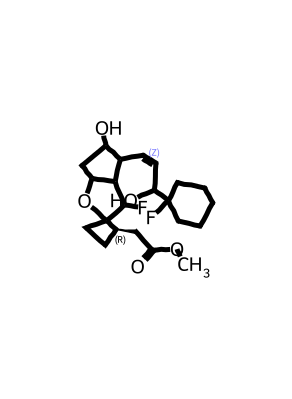 COC(=O)C[C@H]1CCC12OC1CC(O)C(/C=C\C(O)C3(F)CCCCC3)C1C2F